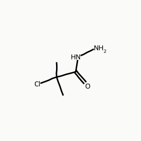 CC(C)(Cl)C(=O)NN